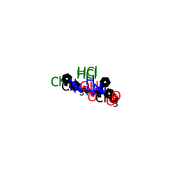 Cc1c(Cl)cccc1N1CCN(CC(O)CNC(=O)c2nc(-c3ccccc3)n(-c3ccc4c(c3)OCCO4)c2C)CC1.Cl.Cl